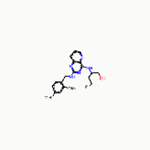 COc1ccc(CNc2nc(NC(CO)CCC(C)C)c3ncccc3n2)c(OC)c1